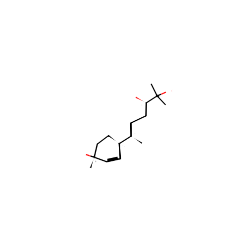 C[C@H](CC[C@@H](O)C(C)(C)O)[C@H]1C=C[C@](C)(O)CC1